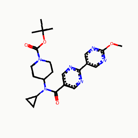 COc1ncc(-c2ncc(C(=O)N(C3CC3)C3CCN(C(=O)OC(C)(C)C)CC3)cn2)cn1